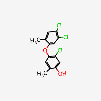 Cc1cc(Oc2cc(Cl)c(Cl)cc2C)c(Cl)cc1O